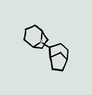 C1CC2CCC(C1)N2C1CCC2CCC1C2